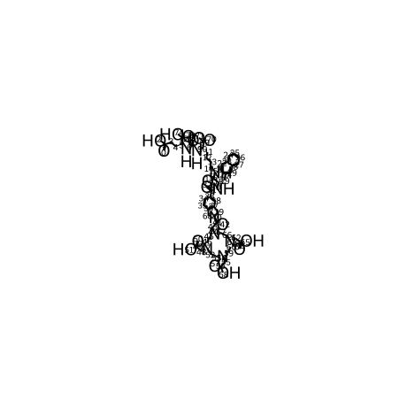 O=C(O)CC[C@H](NC(=O)N[C@@H](CCCCNC(=O)[C@H](Cc1ccc2ccccc2c1)NC(=O)c1ccc2c(c1)CN(C(=O)CN1CCN(CC(=O)O)CCN(CC(=O)O)CCN(CC(=O)O)CC1)C2)C(=O)O)C(=O)O